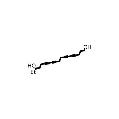 CCC(O)CCC#CC#CCCC#CC#CCCCO